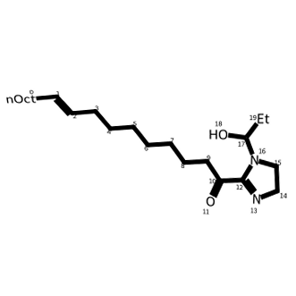 CCCCCCCCC=CCCCCCCCC(=O)C1=NCCN1C(O)CC